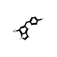 Oc1cc(Cc2ccc(F)cc2)cc2ccoc12